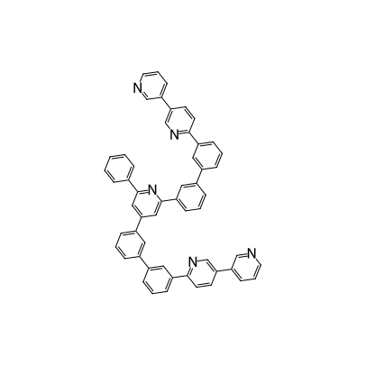 c1ccc(-c2cc(-c3cccc(-c4cccc(-c5ccc(-c6cccnc6)cn5)c4)c3)cc(-c3cccc(-c4cccc(-c5ccc(-c6cccnc6)cn5)c4)c3)n2)cc1